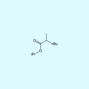 CCCCC(C)C(=O)OC(C)C